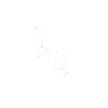 NC(=O)c1ccc(SCC(NC(=O)CCC(N)C(=O)O)C(=O)O)c(N(O)O)c1